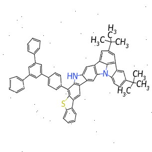 CC(C)(C)c1ccc2c(c1)c1cc(C(C)(C)C)cc3c4cc5[nH]c6c(-c7ccc(-c8cc(-c9ccccc9)cc(-c9ccccc9)c8)cc7)c7sc8ccccc8c7cc6c5cc4n2c13